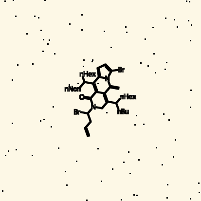 C=CCC(Br)N1CC(C(CCCC)CCCCCC)=c2c(c(C(CCCCCC)CCCCCCCCC)c3ccc(Br)n3c2=C)C1=O